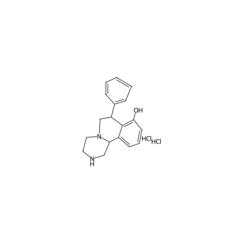 Cl.Cl.Oc1cccc2c1C(c1ccccc1)CN1CCNCC21